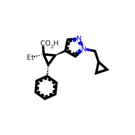 CC[C@@]1(C(=O)O)[C@@H](c2ccccc2)[C@@H]1c1cnn(CC2CC2)c1